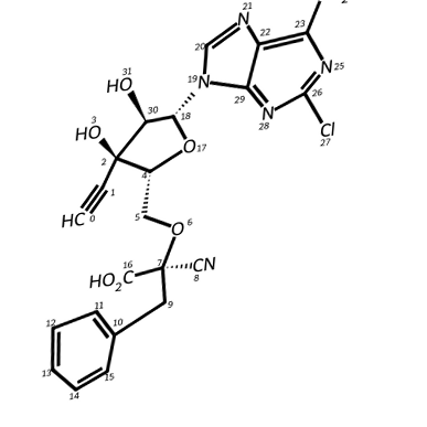 C#C[C@@]1(O)[C@@H](CO[C@@](C#N)(Cc2ccccc2)C(=O)O)O[C@@H](n2cnc3c(N)nc(Cl)nc32)[C@@H]1O